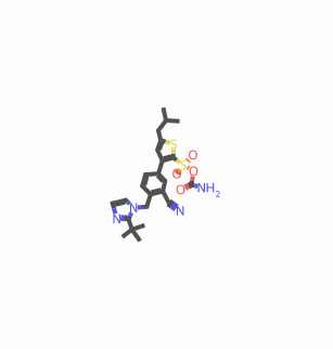 CC(C)Cc1cc(-c2ccc(Cn3ccnc3C(C)(C)C)c(C#N)c2)c(S(=O)(=O)OC(N)=O)s1